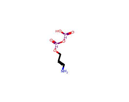 NC=CCO[PH](=O)O[PH](=O)O